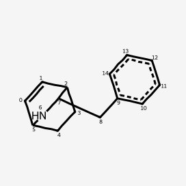 C1=CC2CCC1NC2Cc1ccccc1